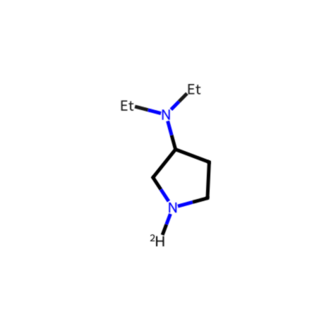 [2H]N1CCC(N(CC)CC)C1